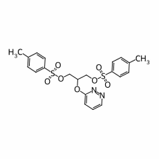 Cc1ccc(S(=O)(=O)OCC(COS(=O)(=O)c2ccc(C)cc2)Oc2cccnn2)cc1